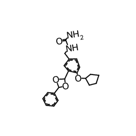 NC(=O)NCc1ccc(OC2CCCC2)c(C2OC(c3ccccc3)O2)c1